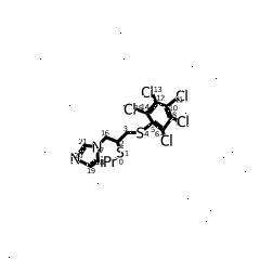 CC(C)SC(CSc1c(Cl)c(Cl)c(Cl)c(Cl)c1Cl)Cn1ccnc1